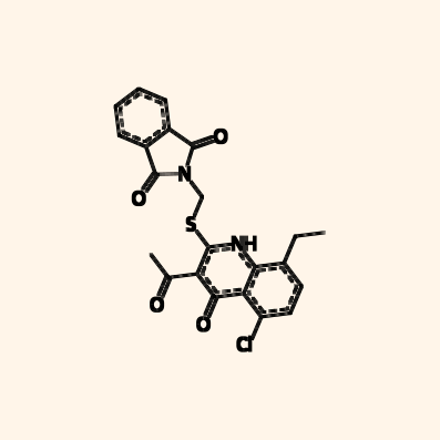 CCc1ccc(Cl)c2c(=O)c(C(C)=O)c(SCN3C(=O)c4ccccc4C3=O)[nH]c12